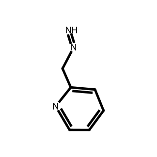 N=NCc1ccccn1